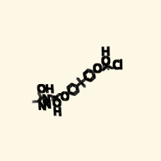 Cc1nnn(C[C@@H](O)COc2ccc(C(C)(C)c3ccc(OC[C@@H](O)CCl)cc3)cc2)c1CO